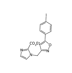 CCOC(=O)c1nccn1Cc1cc(-c2ccc(I)cc2)on1